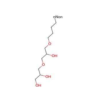 CCCCCCCCCCCCCOCC(O)COCC(O)CO